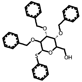 OCC1O[C@@H](Sc2ccccc2)C(OCc2ccccc2)[C@H](OCc2ccccc2)[C@@H]1OCc1ccccc1